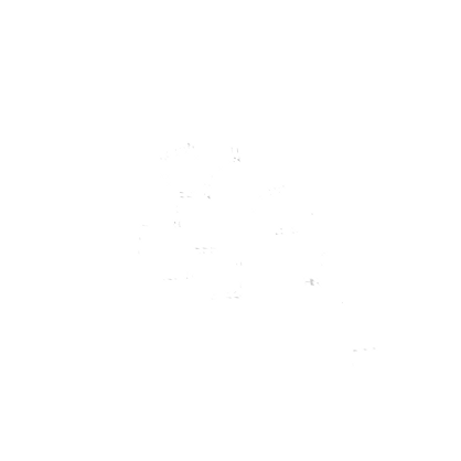 CC(C)CCNSc1ccc(Nc2nccc(N3CCCc4ccccc43)n2)cc1